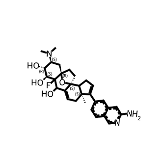 CN(C)[C@H]1C[C@@]23CC[C@@]4(O2)C(=CC[C@]2(C)C(c5ccc6cnc(N)cc6c5)=CCC24)C(O)C3(F)[C@@H](O)[C@@H]1O